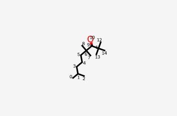 CC(C)CCCC(C)(C)C(=O)C(C)(C)C